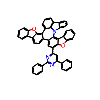 c1ccc(-c2cc(-c3cc4c(c5c3oc3ccccc35)-n3c5ccccc5c5cccc(c53)-c3c-4ccc4c3oc3ccccc34)nc(-c3ccccc3)n2)cc1